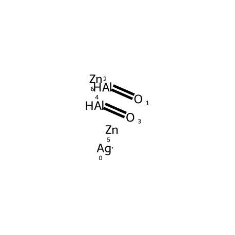 [Ag].[O]=[AlH].[O]=[AlH].[Zn].[Zn]